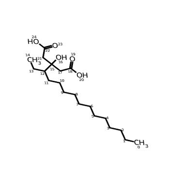 CCCCCCCCCCCCC(CC)C(O)(CC(=O)O)CC(=O)O